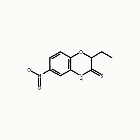 CCC1Oc2ccc([N+](=O)[O-])cc2NC1=S